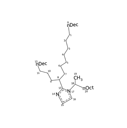 CCCCCCCCCCCCCCCCCC(CCCCCCCCCCCCC)c1nccn1C(C)CCCCCCCC